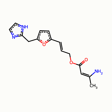 CC(N)=CC(=O)OCC=Cc1ccc(Cc2ncc[nH]2)o1